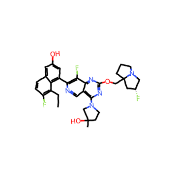 CCc1c(F)ccc2cc(O)cc(-c3ncc4c(N5CCC(C)(O)C5)nc(OCC56CCCN5C[C@H](F)C6)nc4c3F)c12